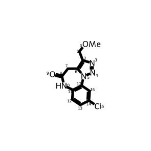 COCc1nnn2c1CC(=O)Nc1ccc(Cl)cc1-2